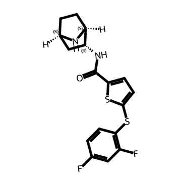 O=C(N[C@@H]1C[C@H]2CC[C@@H]1N2)c1ccc(Sc2ccc(F)cc2F)s1